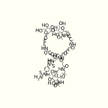 CC(=O)NC1C(O)C(O)C(CO)OC1C(C)(C)OC(C)(C)CNC(=O)CCOCC1(NC(=O)CNC(=S)Nc2ccc(NC(N)=S)cc2)COCCC(=O)NC(C)(C)CCOC(C)(C)C2OC(CO)C(OC3C(O)C(O)C(CO)OC3C(C)(C)OCCC(C)(C)NC(=O)CCOC1)C(O)C2NC(C)=O